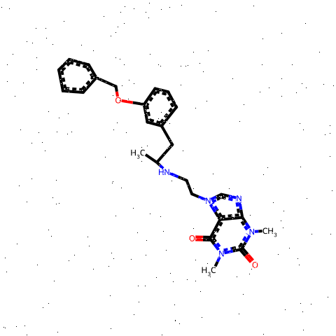 CC(Cc1cccc(OCc2ccccc2)c1)NCCn1cnc2c1c(=O)n(C)c(=O)n2C